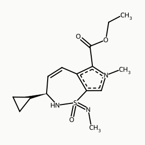 CCOC(=O)c1c2c(cn1C)S(=O)(=NC)N[C@@H](C1CC1)C=C2